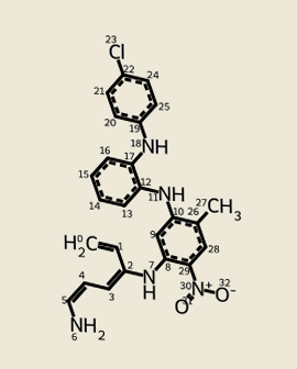 C=C/C(=C\C=C/N)Nc1cc(Nc2ccccc2Nc2ccc(Cl)cc2)c(C)cc1[N+](=O)[O-]